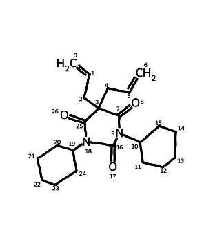 C=CCC1(CC=C)C(=O)N(C2CCCCC2)C(=O)N(C2CCCCC2)C1=O